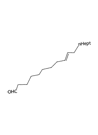 CCCCCCCCC=CCCCCCCC[C]=O